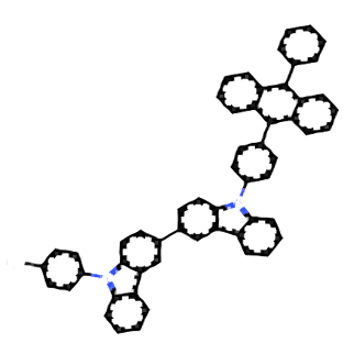 FC(F)(F)c1ccc(-n2c3ccccc3c3cc(-c4ccc5c(c4)c4ccccc4n5-c4ccc(-c5c6ccccc6c(-c6ccccc6)c6ccccc56)cc4)ccc32)cc1